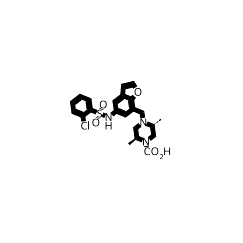 C[C@@H]1CN(C(=O)O)[C@@H](C)CN1Cc1cc(NS(=O)(=O)c2ccccc2Cl)cc2ccoc12